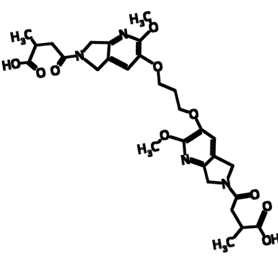 COc1nc2c(cc1OCCCOc1cc3c(nc1OC)CN(C(=O)CC(C)C(=O)O)C3)CN(C(=O)CC(C)C(=O)O)C2